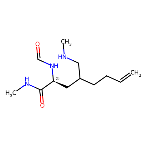 C=CCCC(CNC)C[C@H](NC=O)C(=O)NC